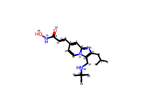 CC(C)Cc1nc2cc(/C=C/C(=O)NO)ccn2c1CNC(C)(C)C